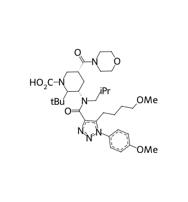 COCCCCc1c(C(=O)N(CC(C)C)[C@H]2C[C@@H](C(=O)N3CCOCC3)CN(C(=O)O)C2C(C)(C)C)nnn1-c1ccc(OC)cc1